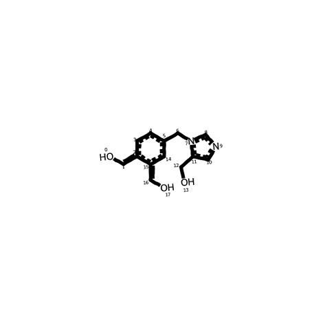 OC=c1ccc(Cn2cncc2CO)cc1=CO